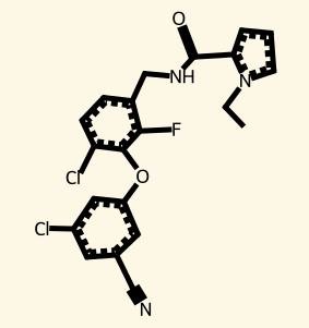 CCn1cccc1C(=O)NCc1ccc(Cl)c(Oc2cc(Cl)cc(C#N)c2)c1F